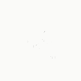 O=C1N2[C@H](OC13CCNCC3)C(O)C[C@H]2c1ccccc1